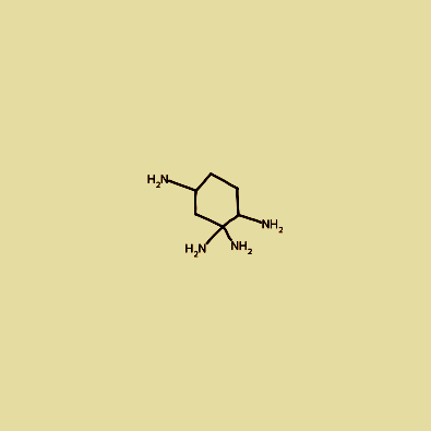 NC1CCC(N)C(N)(N)C1